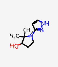 CC1(C)C(O)CCN1c1cc[nH]n1